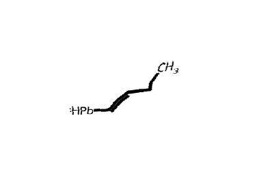 CCC=[CH][PbH]